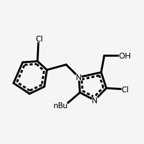 CCCCc1nc(Cl)c(CO)n1Cc1ccccc1Cl